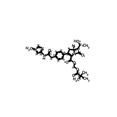 C[C@@H](O)[C@H]1C(=O)N2C(C(=O)OCOC(=O)C(C)(C)C)=C(c3ccc(CC(=O)Nc4cn(C)cn4)cc3)C[C@H]12